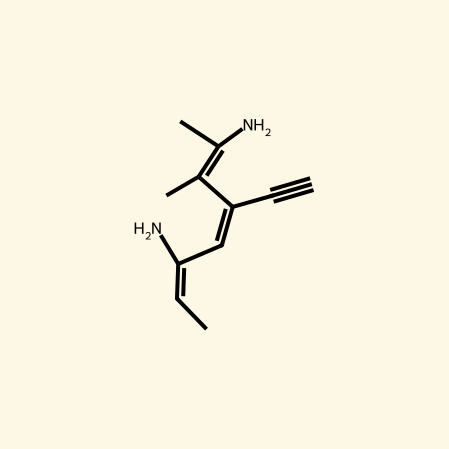 C#CC(=C/C(N)=C\C)/C(C)=C(/C)N